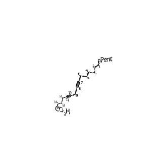 CCCCCC=CCCCCC#CCC#CCCCC(=O)O